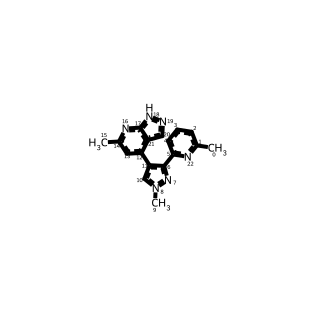 Cc1cccc(-c2nn(C)cc2-c2cc(C)nc3[nH]ncc23)n1